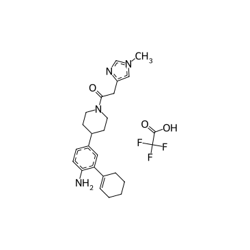 Cn1cnc(CC(=O)N2CCC(c3ccc(N)c(C4=CCCCC4)c3)CC2)c1.O=C(O)C(F)(F)F